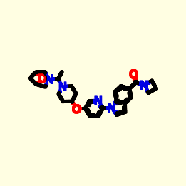 CC(N1CCC(Oc2ccc(-n3ccc4cc(C(=O)N5CCC5)ccc43)nc2)CC1)N1CC2CC(C1)O2